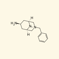 CN1[C@@H]2C[C@@H](N)C[C@H]1CN(Cc1ccccc1)C2